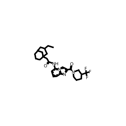 CCC1CC2CCCC(CC(=O)Nc3cccc4nc(C(=O)N5CCCC(C(F)(F)F)C5)cn34)(C1)C2